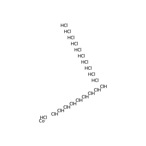 Cl.Cl.Cl.Cl.Cl.Cl.Cl.Cl.Cl.Cl.Cl.Cl.Cl.Cl.Cl.Cl.Cl.Cl.Cl.Cl.[Co]